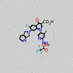 Cc1cc(N)ncc1-n1cc(C(=O)O)c(=O)c2cc(F)c(N3Cc4cccnc4C3)cc21.O=C(O)C(F)(F)F